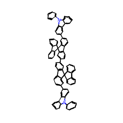 c1ccc(-n2c3ccccc3c3cc(-c4ccc5c(c4)C4(c6ccccc6-c6ccccc64)c4cc(-c6ccc7c(c6)C6(c8ccccc8-c8ccccc86)c6cc(-c8ccc9c(c8)c8ccccc8n9-c8ccccc8)ccc6-7)ccc4-5)ccc32)cc1